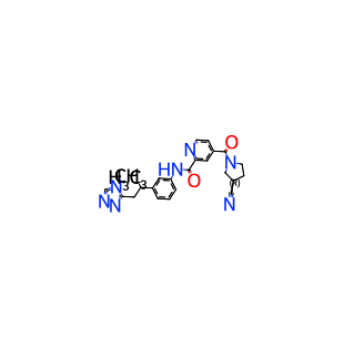 CC(Cc1nncn1C)c1cccc(NC(=O)c2cc(C(=O)N3CC[C@@H](C#N)C3)ccn2)c1